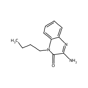 CCCCn1c(=O)c(N)nc2ccccc21